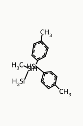 Cc1ccc([SiH](c2ccc(C)cc2)[SiH](C)[SiH3])cc1